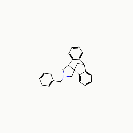 C1=CCC(CN2CC3c4ccccc4C4CC3(C2)c2ccccc24)=CC1